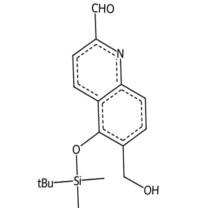 CC(C)(C)[Si](C)(C)Oc1c(CO)ccc2nc(C=O)ccc12